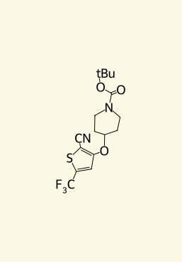 CC(C)(C)OC(=O)N1CCC(Oc2cc(C(F)(F)F)sc2C#N)CC1